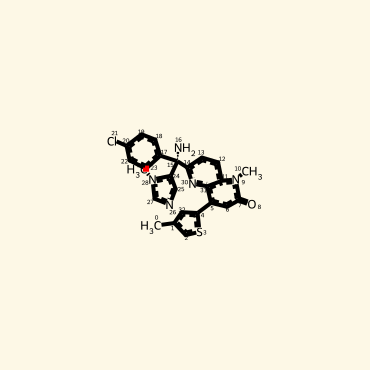 Cc1csc(-c2cc(=O)n(C)c3ccc([C@](N)(c4ccc(Cl)cc4)c4cncn4C)nc23)c1